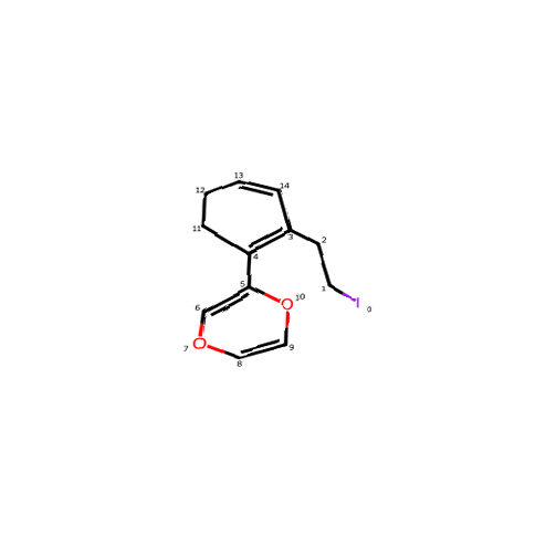 ICCC1=C(C2=COC=CO2)CCC=C1